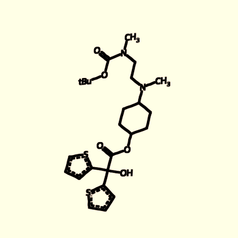 CN(CCN(C)C1CCC(OC(=O)C(O)(c2cccs2)c2cccs2)CC1)C(=O)OC(C)(C)C